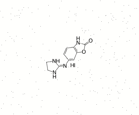 I.O=c1[nH]c2ccc(N=C3NCCN3)cc2o1